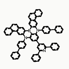 c1ccc(-c2ccc(N3c4cc5c(ccc6ccccc65)cc4B4c5cc6ccc7ccccc7c6cc5N(c5ccc(-c6ccccc6)cc5)c5cc(-c6cc(-c7ccccc7)nc(-c7ccccc7)c6)cc3c54)cc2)cc1